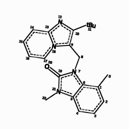 Cc1cccc2c1n(Cc1c(C(C)(C)C)nc3ccccn13)c(=O)n2C